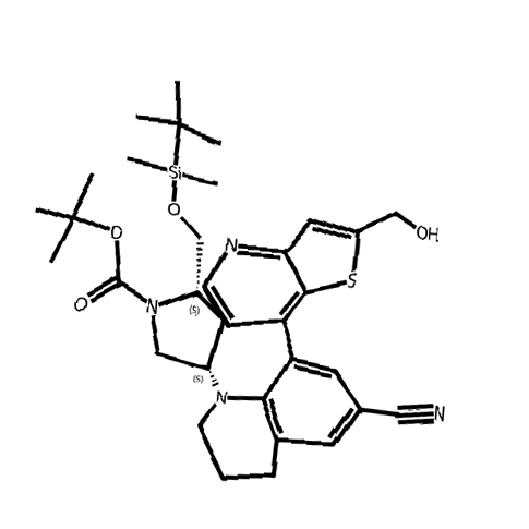 CC(C)(C)OC(=O)N1C[C@@H](N2CCCc3cc(C#N)cc(-c4ccnc5cc(CO)sc45)c32)C[C@H]1CO[Si](C)(C)C(C)(C)C